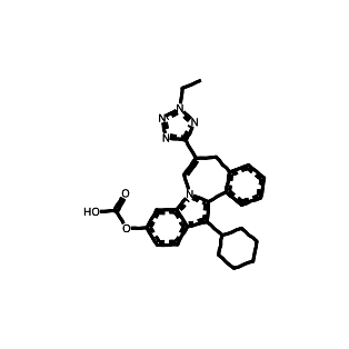 CCn1nnc(C2=Cn3c(c(C4CCCCC4)c4ccc(OC(=O)O)cc43)-c3ccccc3C2)n1